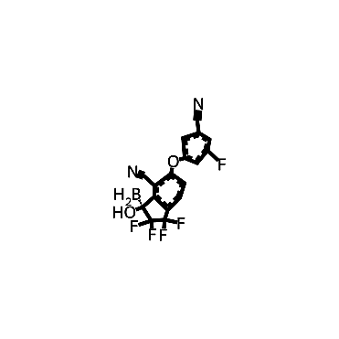 B[C@]1(O)c2c(ccc(Oc3cc(F)cc(C#N)c3)c2C#N)C(F)(F)C1(F)F